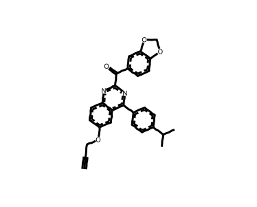 C#CCOc1ccc2nc(C(=O)c3ccc4c(c3)OCO4)nc(-c3ccc(C(C)C)cc3)c2c1